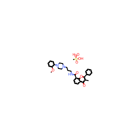 COc1ccccc1N1CCN(CCCNC(=O)c2cccc3c(=O)c(C)c(-c4ccccc4)oc23)CC1.CS(=O)(=O)O.O